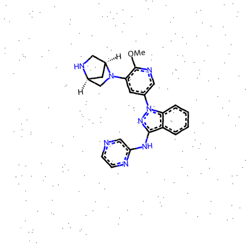 COc1ncc(-n2nc(Nc3cnccn3)c3ccccc32)cc1N1C[C@@H]2C[C@H]1CN2